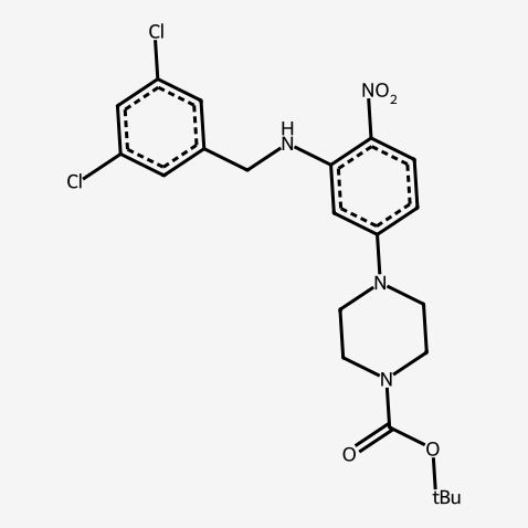 CC(C)(C)OC(=O)N1CCN(c2ccc([N+](=O)[O-])c(NCc3cc(Cl)cc(Cl)c3)c2)CC1